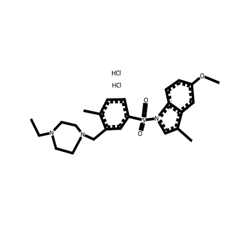 CCN1CCN(Cc2cc(S(=O)(=O)n3cc(C)c4cc(OC)ccc43)ccc2C)CC1.Cl.Cl